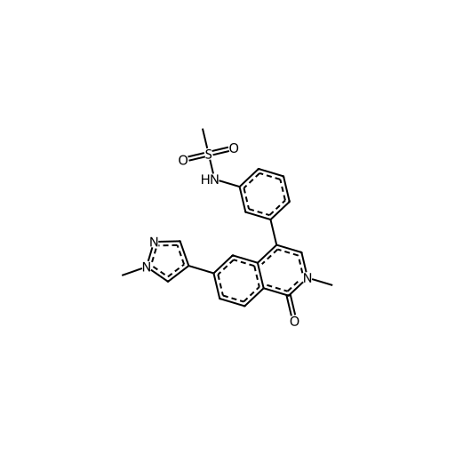 Cn1cc(-c2ccc3c(=O)n(C)cc(-c4cccc(NS(C)(=O)=O)c4)c3c2)cn1